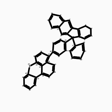 C1=CC2=C(CC1)c1cc3ccccc3cc1C2(c1ccccc1)c1ccc(-c2ccc3c4c(cccc24)-c2ccccc2S3)cc1